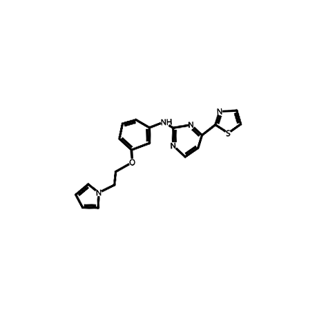 c1cc(Nc2nccc(-c3nccs3)n2)cc(OCCn2cccc2)c1